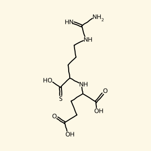 N=C(N)NCCCC(NC(CCC(=O)O)C(=O)O)C(O)=S